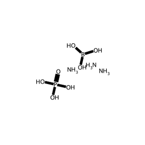 N.N.N.O=P(O)(O)O.OB(O)O